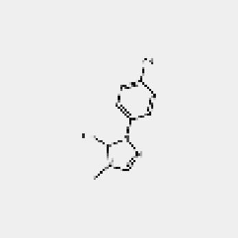 Cc1cnn(-c2ccc(C#N)cc2)c1O